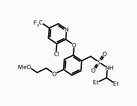 CCC(CC)NS(=O)(=O)Cc1ccc(OCCOC)cc1Oc1ncc(C(F)(F)F)cc1Cl